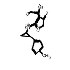 Cc1ccc(C2CC2NC2=C(C(=O)O)C(=O)CO2)cc1